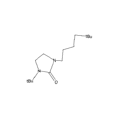 CC(C)(C)CCCCN1CCN(C(C)(C)C)C1=O